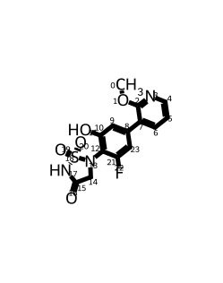 COc1ncccc1-c1cc(O)c(N2CC(=O)NS2(=O)=O)c(F)c1